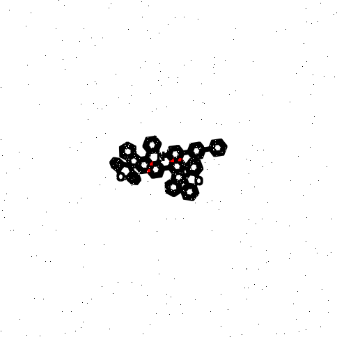 c1ccc(-c2ccc(-c3ccc(N(c4ccccc4-c4cccc5c4-c4ccccc4C54c5ccccc5Oc5ccccc54)c4ccccc4-c4cccc5c4-c4ccccc4C54c5ccccc5Oc5ccccc54)cc3)cc2)cc1